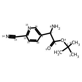 CC(C)(C)OC(=O)C(N)c1ccc(C#N)nc1